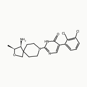 C[C@@H]1OCC2(CCN(c3ncc(-c4cccc(Cl)c4Cl)c(=O)[nH]3)CC2)[C@@H]1N